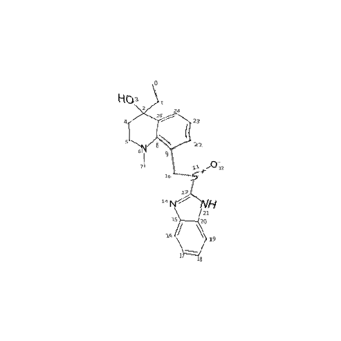 CCC1(O)CCN(C)c2c(C[S+]([O-])c3nc4ccccc4[nH]3)cccc21